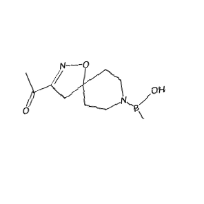 CB(O)N1CCC2(CC1)CC(C(C)=O)=NO2